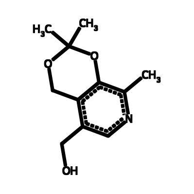 Cc1ncc(CO)c2c1OC(C)(C)OC2